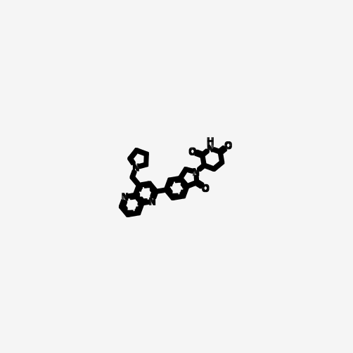 O=C1CCC(N2Cc3cc(-c4cc(CN5CCCC5)c5ncccc5n4)ccc3C2=O)C(=O)N1